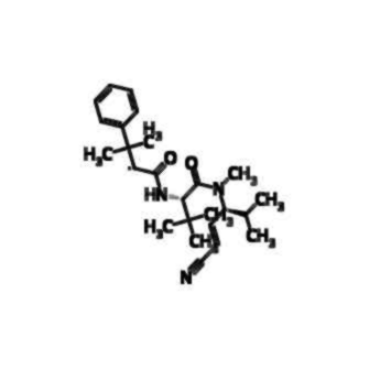 CC(C)[C@@H](/C=C/C#N)N(C)C(=O)[C@@H](NC(=O)[CH]C(C)(C)c1ccccc1)C(C)(C)C